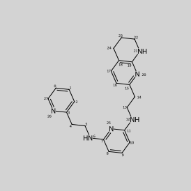 c1ccc(CCNc2cccc(NCCc3ccc4c(n3)NCCC4)n2)nc1